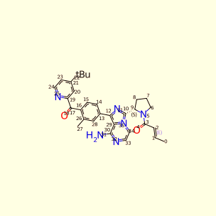 C/C=C/C(=O)N1CCC[C@H]1c1nc(-c2ccc(C(=O)c3cc(C(C)(C)C)ccn3)c(C)c2)c2c(N)nccn12